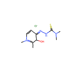 CC1=[N+](C)C=CC(=NNC(=S)N(C)C)C1O.[Cl-]